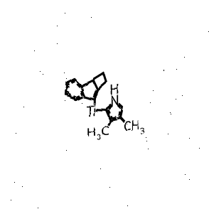 Cc1c[nH][c]([Ti][C]2=C3CCC3c3ccccc32)c1C